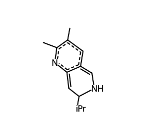 Cc1cc2c(nc1C)=CC(C(C)C)NC=2